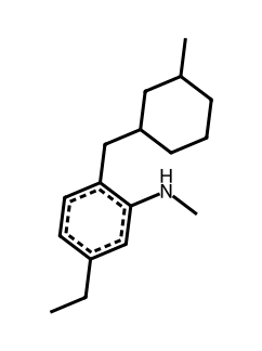 CCc1ccc(CC2CCCC(C)C2)c(NC)c1